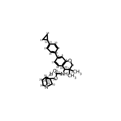 CC1(C)COc2cc(-c3ccc(C4CC4)cc3)ccc2C1NC(=O)O[C@H]1CN2CCC1CC2